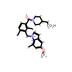 Cc1ccc(C(=O)N2CCC(CC(=O)O)CC2)c(C)c1Cn1ccc2cc(OC(F)(F)F)cc(C)c21